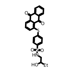 CCC(O)CNS(=O)(=O)c1ccc(Sc2cccc3c2C(=O)c2ccccc2C3=O)cc1